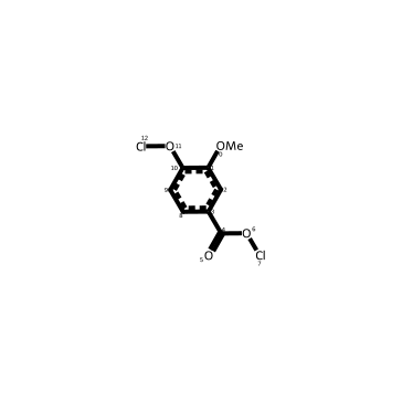 COc1cc(C(=O)OCl)ccc1OCl